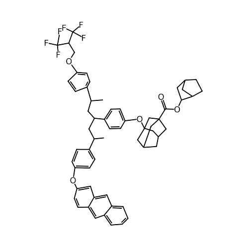 CC(CC(CC(C)c1ccc(Oc2ccc3cc4ccccc4cc3c2)cc1)c1ccc(OC23CC4CC(C2)CC(C(=O)OC2CC5CCC2C5)(C4)C3)cc1)c1ccc(OCC(C(F)(F)F)C(F)(F)F)cc1